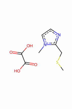 CSCc1nccn1C.O=C(O)C(=O)O